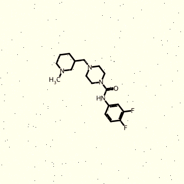 CN1CCCC(CN2CCN(C(=O)Nc3ccc(F)c(F)c3)CC2)C1